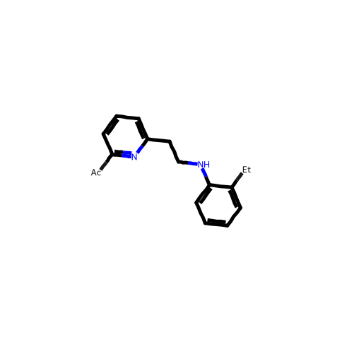 CCc1ccccc1NCCc1cccc(C(C)=O)n1